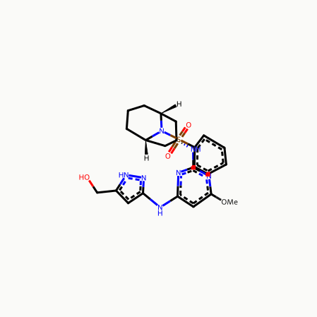 COc1cc(Nc2cc(CO)[nH]n2)nc(N[C@H]2C[C@H]3CCC[C@@H](C2)N3S(=O)(=O)c2ccccc2)n1